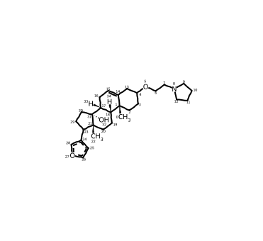 C[C@]12CCC(OCCN3CCCC3)CC1=CC[C@@H]1[C@H]2CC[C@]2(C)C(c3ccoc3)CC[C@@]12O